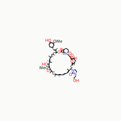 CO[C@@H]1C[C@H](C[C@@H](C)[C@@H]2CC[C@H](C)/C=C(\C)[C@@H](O)[C@@H](OC)C(=O)[C@H](C)C[C@H](C)/C=C/C=C/C=C(\C)C(N3CCN(CCO)C3=O)C[C@@H]3CC[C@@H](C)[C@@](O)(O3)C(=O)C(=O)N3CCCC[C@H]3C(=O)O2)CC[C@H]1O